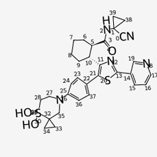 N#CC1(NC(=O)[C@@H]2CCCC[C@H]2c2nc(-c3cccnc3)sc2-c2ccc(N3CCS(O)(O)C4(CC4)C3)cc2)CC1